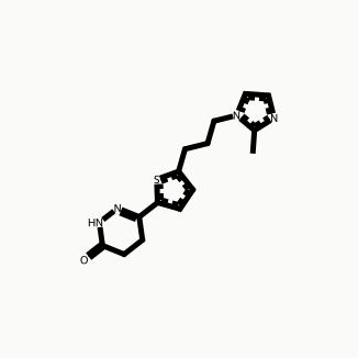 Cc1nccn1CCCc1ccc(C2=NNC(=O)CC2)s1